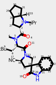 CC(C)N1[C@H](C(=O)N(C)[C@@H](CC(C)(C)C)C(=O)N2C[C@]3(C[C@H]2C#N)C(=O)Nc2ccccc23)CC2CCC[C@@H]21